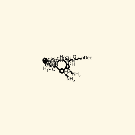 CCCCCCCCCCCCCC(=O)NCC(=O)N(C)C1C(=O)N[C@@H](C)C(=O)NC(C(=O)N[C@@H](C)B2OC3CC4CC(C4(C)C)[C@]3(C)O2)Cc2ccc(OCCN)c(c2)-c2cc1ccc2OCCN